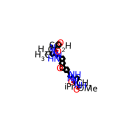 COC(=O)N[C@H](C(=O)N1[C@@H](C)CC[C@H]1c1ncc(-c2ccc3c(c2)COc2cc4c(ccc5nc([C@@H]6C[C@H](C)CN6C(=O)[C@H](C6CCOCC6)N(C)C(=O)O)[nH]c54)cc2-3)[nH]1)C(C)C